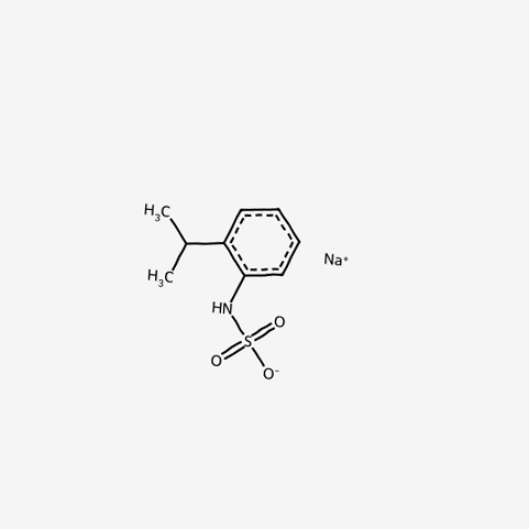 CC(C)c1ccccc1NS(=O)(=O)[O-].[Na+]